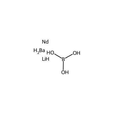 OB(O)O.[BaH2].[LiH].[Nd]